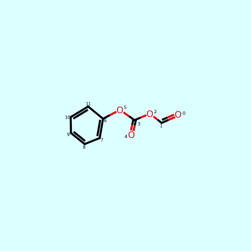 O=COC(=O)Oc1ccccc1